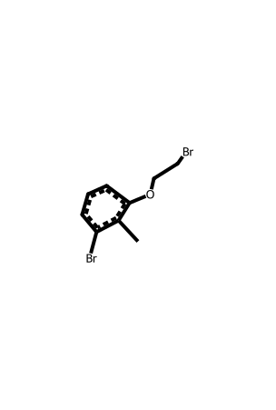 Cc1c(Br)cccc1OCCBr